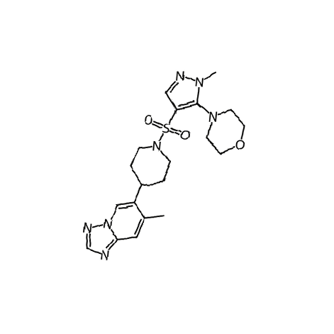 Cc1cc2ncnn2cc1C1CCN(S(=O)(=O)c2cnn(C)c2N2CCOCC2)CC1